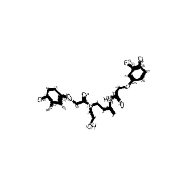 C=C(CCN(CCO)C(=O)COc1ccc(Cl)c(F)c1)NC(=O)COc1ccc(Cl)c(F)c1